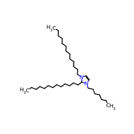 CCCCCCCCCCCCCC1N(CCCCCCC)C=CN1CCCCCCCCCCCCC